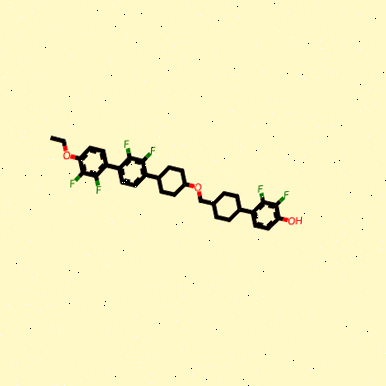 CCOc1ccc(-c2ccc(C3CCC(OCC4CCC(c5ccc(O)c(F)c5F)CC4)CC3)c(F)c2F)c(F)c1F